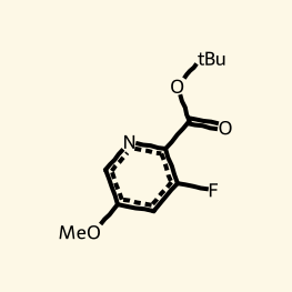 COc1cnc(C(=O)OC(C)(C)C)c(F)c1